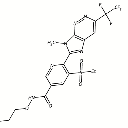 CCS(=O)(=O)c1cc(C(=O)NOCCSC)cnc1-c1nc2cc(C(F)(F)C(F)(F)F)nnc2n1C